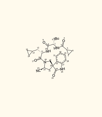 CC(C)(C)[C@H](NC(=O)C1CC1)C(=O)N[C@@H](CC1CC1)C(=O)N1C[C@]2(C[C@H]1C#N)C(=O)Nc1ccccc12